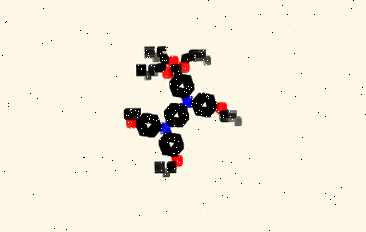 CCO[Si](OCC)(OCC)c1ccc(N(c2ccc(OC)cc2)c2ccc(N(c3ccc(OC)cc3)c3ccc(OC)cc3)cc2)cc1